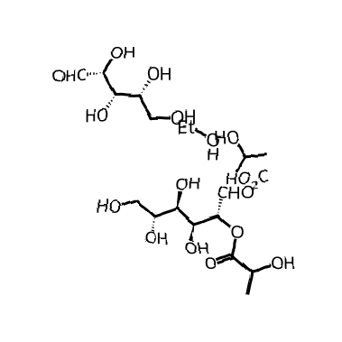 CC(O)C(=O)O.CC(O)C(=O)O[C@@H](C=O)[C@@H](O)[C@H](O)[C@H](O)CO.CCO.O=C[C@H](O)[C@@H](O)[C@H](O)CO